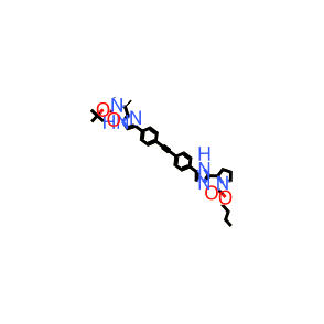 CCCCOC(=O)N1CCCC1c1ncc(-c2ccc(C#Cc3ccc(-c4c[nH]c([C@H](C)N(C)C(=O)OC(C)(C)C)n4)cc3)cc2)[nH]1